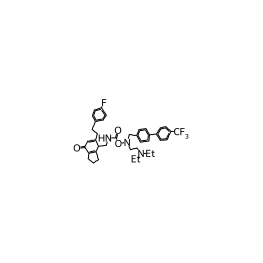 CCN(CC)CCN(Cc1ccc(-c2ccc(C(F)(F)F)cc2)cc1)OC(=O)NCC1C(CCc2ccc(F)cc2)=CC(=O)C2=C1CCC2